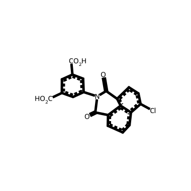 O=C(O)c1cc(C(=O)O)cc(N2C(=O)c3cccc4c(Cl)ccc(c34)C2=O)c1